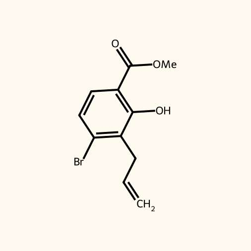 C=CCc1c(Br)ccc(C(=O)OC)c1O